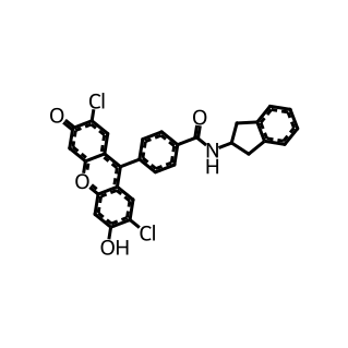 O=C(NC1Cc2ccccc2C1)c1ccc(-c2c3cc(Cl)c(=O)cc-3oc3cc(O)c(Cl)cc23)cc1